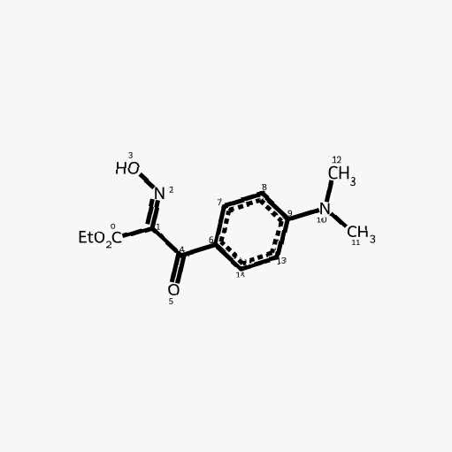 CCOC(=O)C(=NO)C(=O)c1ccc(N(C)C)cc1